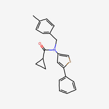 Cc1ccc(CN(C(=O)C2CC2)c2csc(-c3ccccc3)c2)cc1